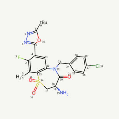 Cc1c(F)c(-c2nnc(C(C)(C)C)o2)cc2c1S(=O)(=O)C[C@H](N)C(=O)N2Cc1ccc(Cl)cc1